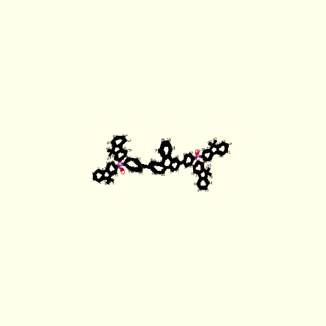 CC1(C)c2ccccc2-c2ccc(P(=O)(c3ccc(-c4ccc5c6ccc(-c7ccc(P(=O)(c8ccc9c(c8)C(C)(C)c8ccccc8-9)c8ccc9c(c8)C(C)(C)c8ccccc8-9)cc7)cc6c6ccccc6c5c4)cc3)c3ccc4c(c3)C(C)(C)c3ccccc3-4)cc21